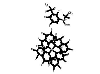 CCCCCC[NH+](c1cc(F)c(F)c(C(F)(F)C(F)(F)F)c1F)C(F)(F)C(F)(F)F.Fc1ccc2c([B-](c3c(F)c(F)c(F)c4c(F)c(F)ccc34)(c3c(F)c(F)c(F)c4c(F)c(F)ccc34)c3c(F)c(F)c(F)c4c(F)c(F)ccc34)c(F)c(F)c(F)c2c1F